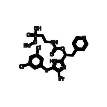 CCC(C)OP(=O)(O)CCNC(=O)OC(Cc1ccncc1)c1nc(C(C)C)c(Sc2cc(Cl)cc(Cl)c2)[nH]1